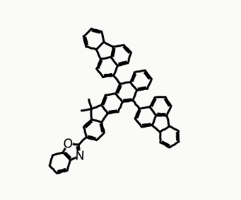 CC1(C)c2cc(-c3nc4c(o3)CCC=C4)ccc2-c2cc3c(-c4ccc5c6c(cccc46)C4C=CC=CC54)c4ccccc4c(-c4ccc5c6c(cccc46)C4C=CC=CC54)c3cc21